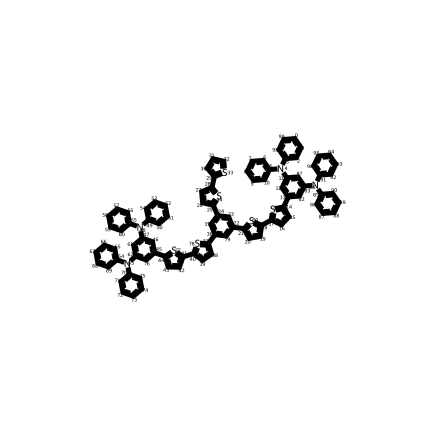 c1ccc(N(c2ccccc2)c2cc(-c3ccc(-c4ccc(-c5cc(-c6ccc(-c7cccs7)s6)cc(-c6ccc(-c7ccc(-c8cc(N(c9ccccc9)c9ccccc9)cc(N(c9ccccc9)c9ccccc9)c8)s7)s6)c5)s4)s3)cc(N(c3ccccc3)c3ccccc3)c2)cc1